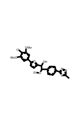 CCOC(c1ccc(-c2nnc(C)s2)cc1)C(O)c1ccc(-c2cc(OC)c(Cl)c(OC)c2)o1